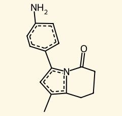 Cc1cc(-c2ccc(N)cc2)n2c1CCCC2=O